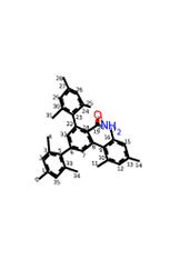 Cc1cc(C)c(-c2cc(-c3c(C)cc(C)cc3C)c(C(N)=O)c(-c3c(C)cc(C)cc3C)c2)c(C)c1